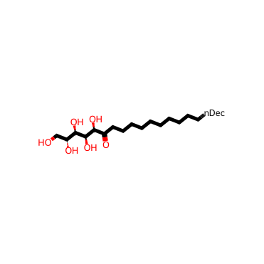 CCCCCCCCCCCCCCCCCCCCC(=O)[C@H](O)[C@@H](O)[C@H](O)[C@H](O)CO